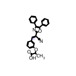 CC(Oc1cccc(/C=C(\C#N)c2nc(-c3ccccc3)c(-c3ccccc3)o2)c1)C(=O)O